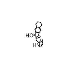 O[C@H]1c2cc3c(cc2S[C@H]1Cc1ncc[nH]1)CCCC3